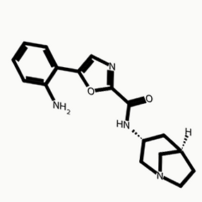 Nc1ccccc1-c1cnc(C(=O)N[C@@H]2C[C@H]3CCN(C3)C2)o1